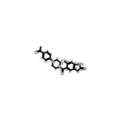 CC(=O)c1ccc(N2CCN(C(=O)c3cc4c(cc3Cl)NC(=O)C4)CC2)cc1